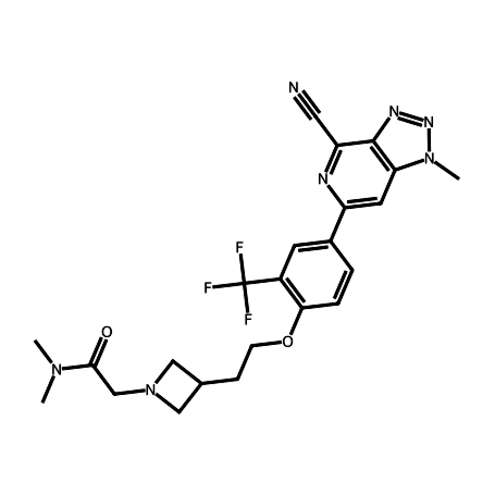 CN(C)C(=O)CN1CC(CCOc2ccc(-c3cc4c(nnn4C)c(C#N)n3)cc2C(F)(F)F)C1